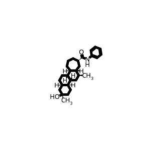 C[C@H]1C[C@H]2[C@H](CC[C@@H]3C[C@](C)(O)CC[C@@H]32)[C@H]2CCC[C@H](C(=O)Nc3ccccc3)C[C@@H]21